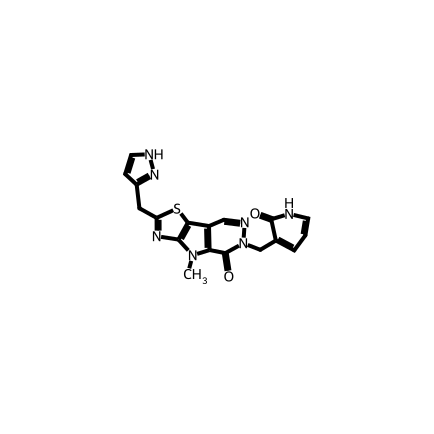 Cn1c2nc(Cc3cc[nH]n3)sc2c2cnn(Cc3ccc[nH]c3=O)c(=O)c21